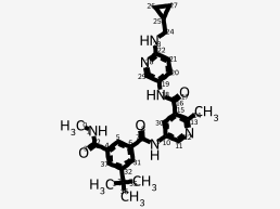 CNC(=O)c1cc(C(=O)Nc2cnc(C)c(C(=O)Nc3ccc(NCC4CC4)nc3)c2)cc(C(C)(C)C)c1